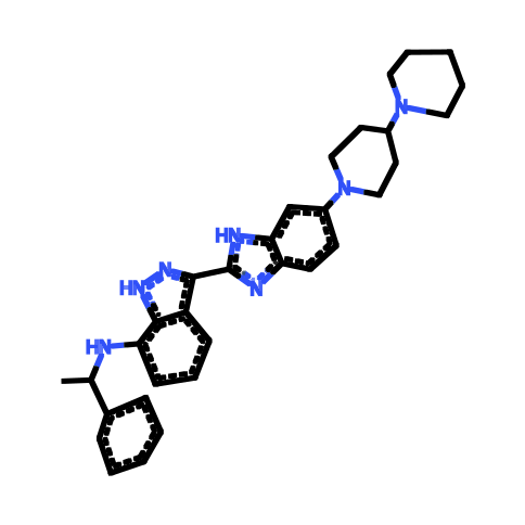 CC(Nc1cccc2c(-c3nc4ccc(N5CCC(N6CCCCC6)CC5)cc4[nH]3)n[nH]c12)c1ccccc1